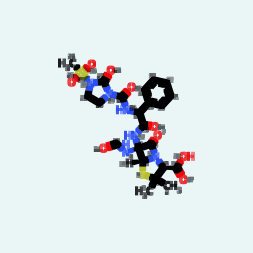 CC1(C)S[C@H]2N(C(=O)[C@@]2(NC=O)NC(=O)C(NC(=O)N2CCN(S(C)(=O)=O)C2=O)c2ccccc2)[C@H]1C(=O)O